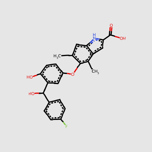 Cc1cc2[nH]c(C(=O)O)cc2c(C)c1Oc1ccc(O)c(C(O)c2ccc(F)cc2)c1